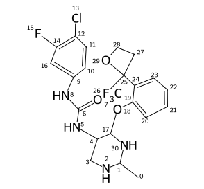 CC1NCC(NC(=O)Nc2ccc(Cl)c(F)c2)C(Oc2ccccc2C2(C(F)(F)F)CCO2)N1